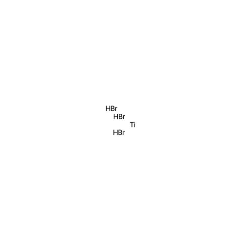 Br.Br.Br.[Ti]